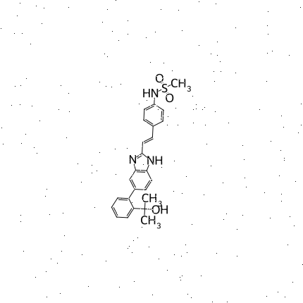 CC(C)(O)c1ccccc1-c1ccc2[nH]c(C=Cc3ccc(NS(C)(=O)=O)cc3)nc2c1